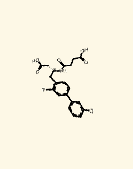 O=C(O)CCC(=O)N[C@@H](CC(=O)O)Cc1ccc(-c2cccc(Cl)c2)cc1F